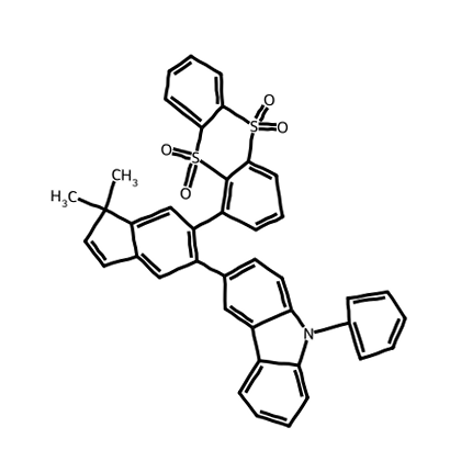 CC1(C)C=Cc2cc(-c3ccc4c(c3)c3ccccc3n4-c3ccccc3)c(-c3cccc4c3S(=O)(=O)c3ccccc3S4(=O)=O)cc21